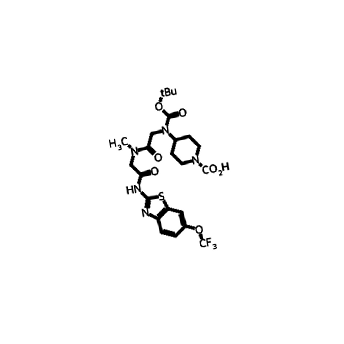 CN(CC(=O)Nc1nc2ccc(OC(F)(F)F)cc2s1)C(=O)CN(C(=O)OC(C)(C)C)C1CCN(C(=O)O)CC1